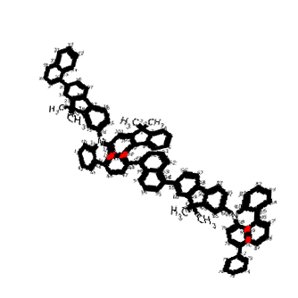 CC1(C)c2ccccc2-c2ccc(N(c3ccc4c(c3)C(C)(C)c3cc(-c5cccc6ccccc56)ccc3-4)c3ccccc3-c3ccc(-c4cccc5c(-c6ccc7c(c6)C(C)(C)c6cc(N(c8ccc(-c9ccccc9)cc8)c8ccccc8-c8ccccc8)ccc6-7)cccc45)cc3)cc21